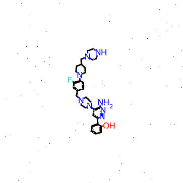 Nc1nnc(-c2ccccc2O)cc1N1CCN(Cc2ccc(N3CCC(CN4CCNCC4)CC3)c(F)c2)CC1